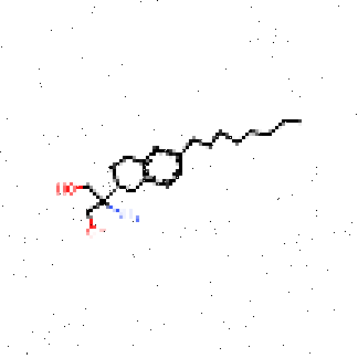 CCCCCCCCc1ccc2c(c1)CC[C@H](C(N)(CO)CO)C2